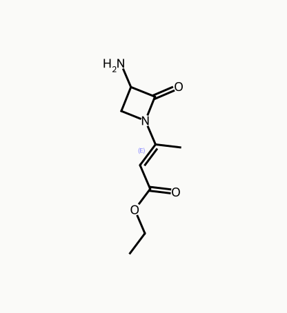 CCOC(=O)/C=C(\C)N1CC(N)C1=O